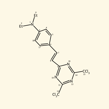 CCN(CC)c1ccc(C=Cc2nc(C(Cl)(Cl)Cl)nc(C(Cl)(Cl)Cl)n2)cc1